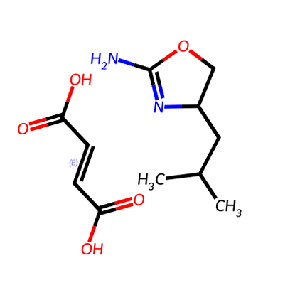 CC(C)CC1COC(N)=N1.O=C(O)/C=C/C(=O)O